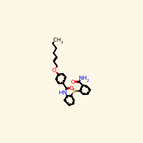 CCCC/C=C/COc1ccc(C(=O)Nc2ccccc2Sc2ccccc2C(N)=O)cc1